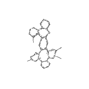 Cc1ccc2c3cc4c(cc3[n+]3cc(C)c(C)cc3c3ccccc3[n+]2c1)sc1ccccc1c1cccc(C)c41